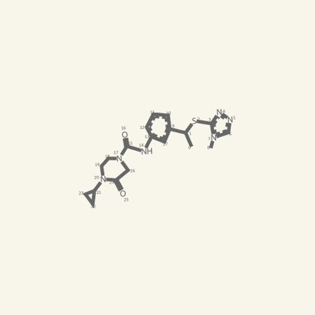 CC(Sc1nncn1C)c1cccc(NC(=O)N2CCN(C3CC3)C(=O)C2)c1